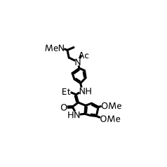 CCC(Nc1ccc(N(CC(C)NC)C(C)=O)cc1)=C1C(=O)Nc2cc(OC)c(OC)cc21